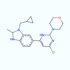 CC1Nc2ccc(C3=CC(Cl)=NC(N4CCOCC4)N3)cc2N1CC1CC1